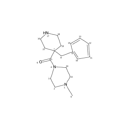 CN1CCN(C(=O)C2(Cc3ccccc3)CCNCC2)CC1